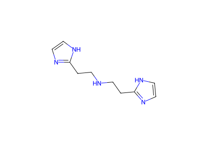 c1c[nH]c(CCNCCc2ncc[nH]2)n1